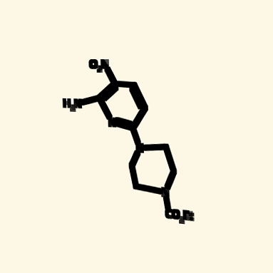 CCOC(=O)N1CCN(c2ccc([N+](=O)[O-])c(N)n2)CC1